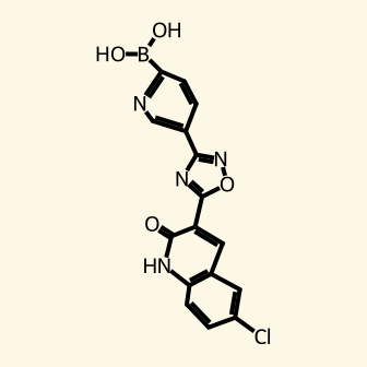 O=c1[nH]c2ccc(Cl)cc2cc1-c1nc(-c2ccc(B(O)O)nc2)no1